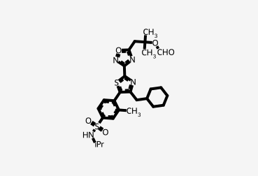 Cc1cc(S(=O)(=O)NC(C)C)ccc1-c1sc(-c2noc(CC(C)(C)OC=O)n2)nc1CC1CCCCC1